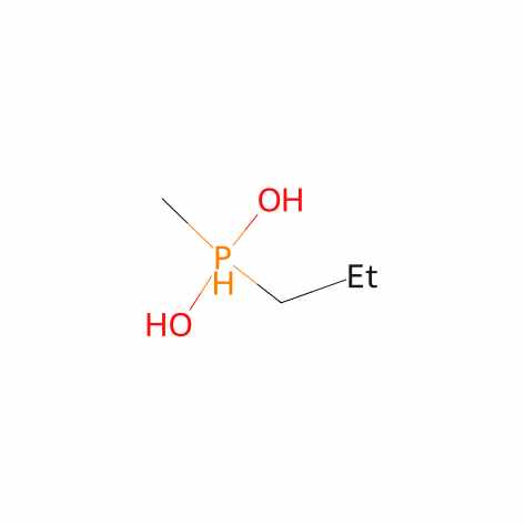 CCC[PH](C)(O)O